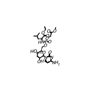 CCOC(=O)[C@H](CC(C)C)NP(=O)(OCC(=O)OC)OC[C@H]1O[C@@H](n2ccc(N)nc2=O)C(O)C[C@H]1O